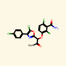 CNC(=O)C(Oc1ccc(F)c(C(N)=O)c1F)c1nc(-c2ccc(Cl)cc2)c(Cl)o1